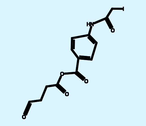 O=CCCC(=O)OC(=O)c1ccc(NC(=O)CI)cc1